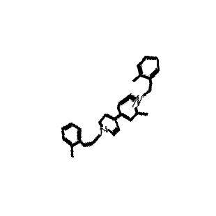 Cc1ccccc1CN1C=CC(C2=CC(C)N(Cc3ccccc3C)C=C2)=CC1